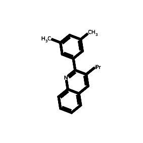 Cc1cc(C)cc(-c2nc3ccccc3cc2C(C)C)c1